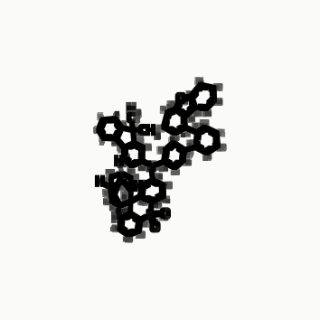 CC1(C)c2ccccc2-c2ccc(N(c3ccc(-c4ccccc4-c4cccc5oc6ccccc6c45)cc3)c3ccc4c(c3)C3(c5ccccc5S4(=O)=O)[C@H]4C[C@H]5C[C@H](C[C@H]3C5)C4)cc21